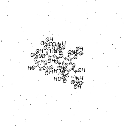 CCC(OS(=O)(=O)O)[C@H](O[C@@H]1OC(C(=O)O)=C[C@@H](O)C1OS(=O)(=O)O)[C@@H](O)C(CO[C@H]1C(C(=O)O)O[C@@H](OC(C(OC)OS(=O)(=O)O)[C@@H](O)CNS(=O)(=O)O)C(OS(=O)(=O)O)[C@@H]1O)NS(=O)(=O)O